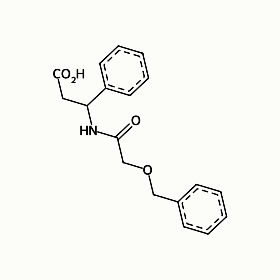 O=C(O)CC(NC(=O)COCc1ccccc1)c1ccccc1